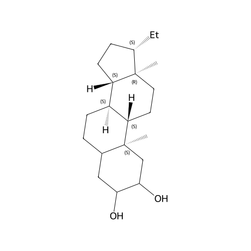 CC[C@H]1CC[C@H]2[C@@H]3CCC4CC(O)C(O)C[C@]4(C)[C@H]3CC[C@]12C